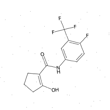 O=C(Nc1ccc(F)c(C(F)(F)F)c1)C1=C(O)CCC1